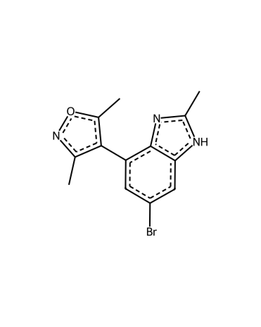 Cc1nc2c(-c3c(C)noc3C)cc(Br)cc2[nH]1